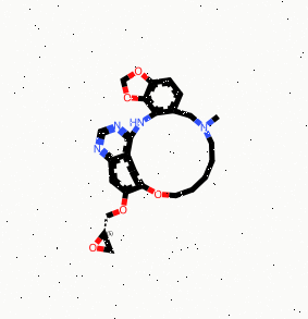 CN1CCCCCOc2cc3c(ncnc3cc2OC[C@@H]2CO2)Nc2c(ccc3c2OCO3)C1